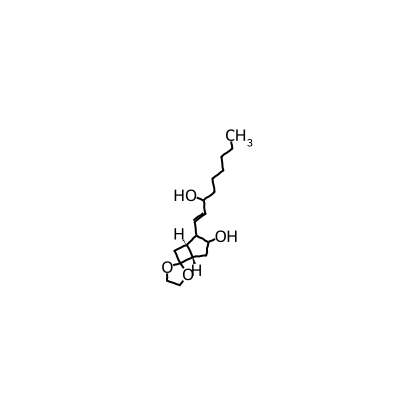 CCCCCCC(O)C=CC1C(O)C[C@H]2[C@H]1CC21OCCO1